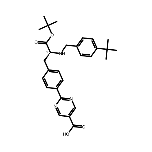 CC(C)(C)OC(=O)[C@H](Cc1ccc(-c2ncc(C(=O)O)cn2)cc1)NCc1ccc(C(C)(C)C)cc1